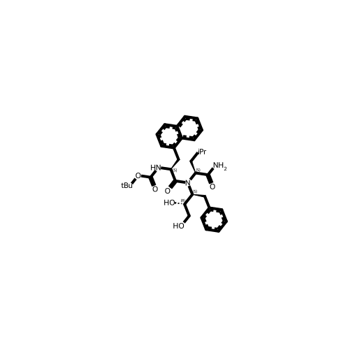 CC(C)C[C@@H](C(N)=O)N(C(=O)[C@H](Cc1cccc2ccccc12)NC(=O)OC(C)(C)C)[C@@H](Cc1ccccc1)[C@@H](O)CO